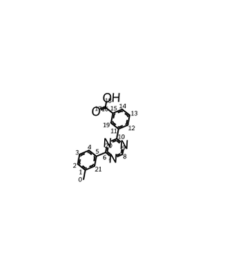 Cc1cccc(-c2ncnc(-c3cccc(C(=O)O)c3)n2)c1